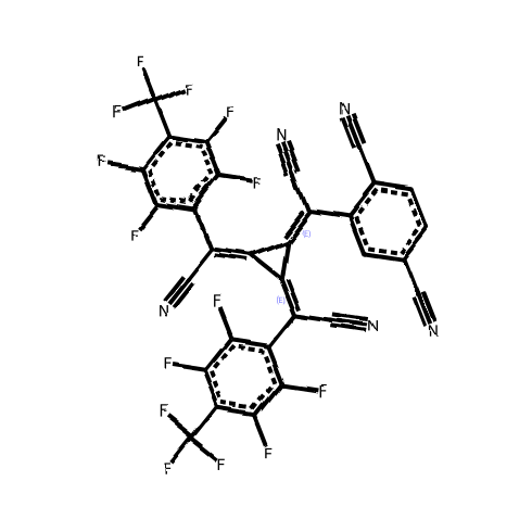 N#CC(=C1C(=C(\C#N)c2cc(C#N)ccc2C#N)/C1=C(\C#N)c1c(F)c(F)c(C(F)(F)F)c(F)c1F)c1c(F)c(F)c(C(F)(F)F)c(F)c1F